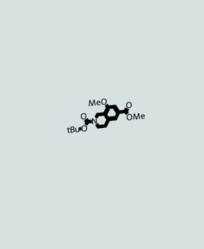 COC(=O)c1cc2c(c(OC)c1)CN(C(=O)OC(C)(C)C)CC2